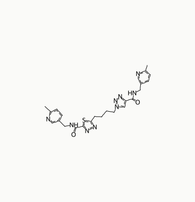 Cc1ccc(CNC(=O)c2cn(CCCCc3nnc(C(=O)NCc4ccc(C)nc4)s3)nn2)cn1